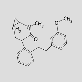 CCC(C(=O)N(C)C1CC1)c1ccccc1CCc1cccc(OC)c1